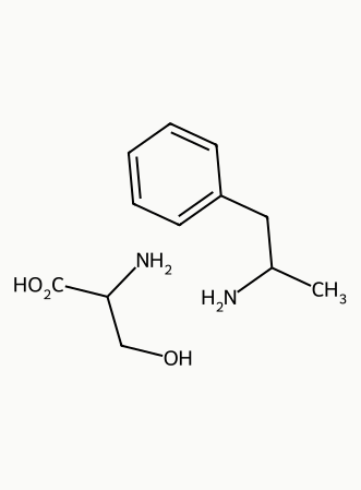 CC(N)Cc1ccccc1.NC(CO)C(=O)O